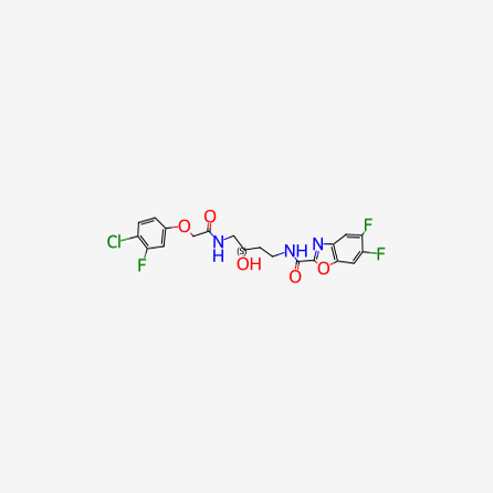 O=C(COc1ccc(Cl)c(F)c1)NC[C@@H](O)CCNC(=O)c1nc2cc(F)c(F)cc2o1